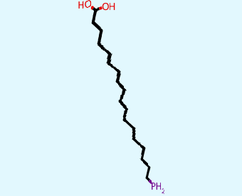 OC(O)CCCCCCCCCCCCCCCCCP